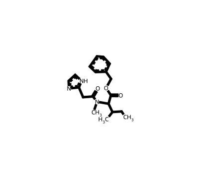 CCC(C)C(C(=O)OCc1ccccc1)N(C)C(=O)Cc1ncc[nH]1